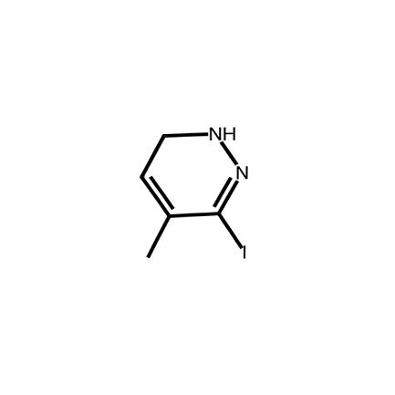 CC1=CCNN=C1I